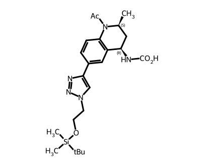 CC(=O)N1c2ccc(-c3cn(CCO[Si](C)(C)C(C)(C)C)nn3)cc2[C@H](NC(=O)O)C[C@@H]1C